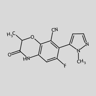 CC1Oc2c(cc(F)c(-c3ccnn3C)c2C#N)NC1=O